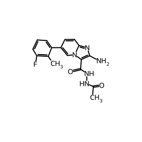 CC(=O)NNC(=O)c1c(N)nc2ccc(-c3cccc(F)c3C)cn12